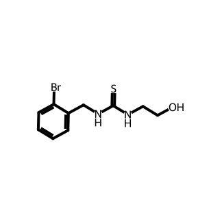 OCCNC(=S)NCc1ccccc1Br